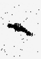 O=C(NS(=O)(=O)c1ccc(OC[C@H]2CCNC2)cc1)c1cc(Cl)c(OCC2CCCC2)cc1F